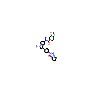 CC1CCCC(C(=O)Nc2ccc3[nH]cc(-c4ccc(NC(=O)c5ccccn5)cc4)c3c2)C1